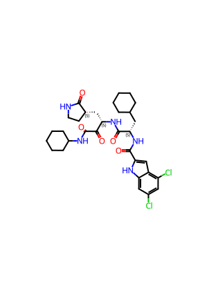 O=C(NC1CCCCC1)C(=O)[C@H](C[C@@H]1CCNC1=O)NC(=O)[C@H](CC1CCCCC1)NC(=O)c1cc2c(Cl)cc(Cl)cc2[nH]1